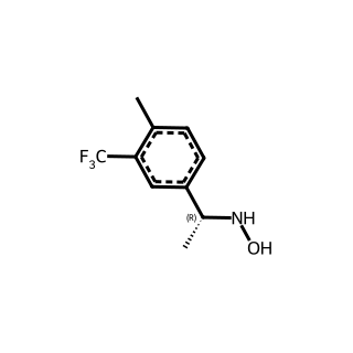 Cc1ccc([C@@H](C)NO)cc1C(F)(F)F